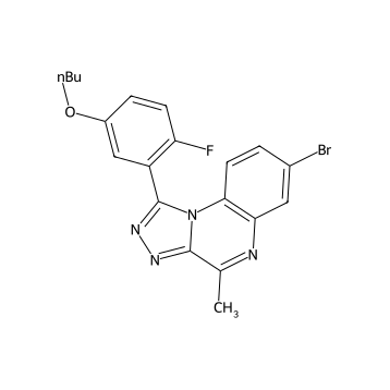 CCCCOc1ccc(F)c(-c2nnc3c(C)nc4cc(Br)ccc4n23)c1